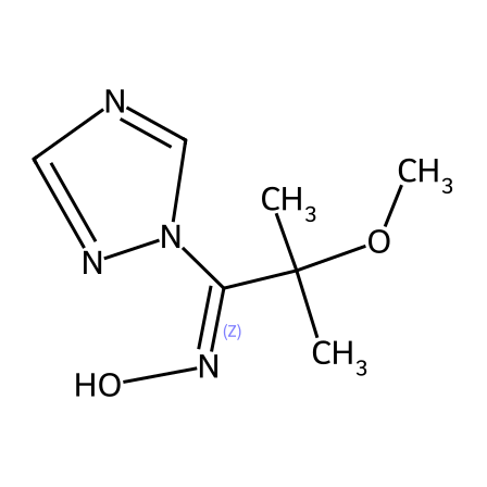 COC(C)(C)/C(=N/O)n1cncn1